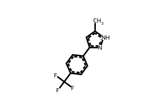 Cc1cc(-c2ccc(C(F)(F)F)cc2)n[nH]1